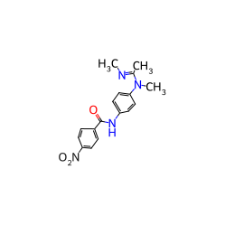 CN=C(C)N(C)c1ccc(NC(=O)c2ccc([N+](=O)[O-])cc2)cc1